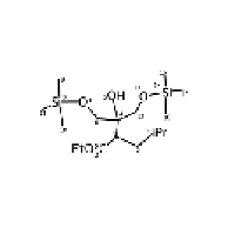 CCOC(=O)C(CC(C)C)C(O)(CO[Si](C)(C)C)CO[Si](C)(C)C